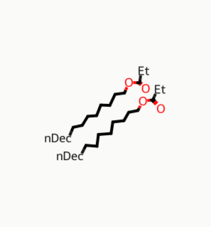 CCCCCCCCCCCCCCCCCCOC(=O)CC.CCCCCCCCCCCCCCCCCCOC(=O)CC